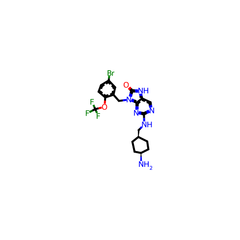 N[C@H]1CC[C@@H](CNc2ncc3[nH]c(=O)n(Cc4cc(Br)ccc4OC(F)(F)F)c3n2)CC1